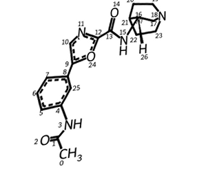 CC(=O)Nc1cccc(-c2cnc(C(=O)N[C@H]3CN4CCC3CC4)o2)c1